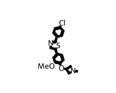 COc1cc(C2CN=C(c3ccc(Cl)cc3)S2)ccc1OC1CN(C)C1